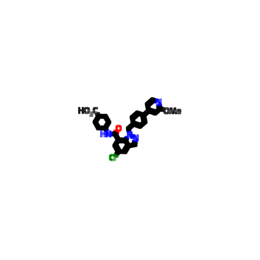 COc1cc(-c2ccc(Cn3ncc4cc(Cl)cc(C(=O)NC5CCC(C(=O)O)CC5)c43)cc2)ccn1